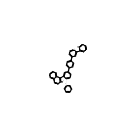 c1ccc(-n2c3ccc(-c4ccc(-c5ccc6oc7ccccc7c6c5)cc4)cc3c3c4ccccc4ccc32)cc1